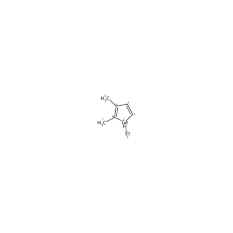 C[CH2][GeH]1[CH]=CC(C)=[C]1C